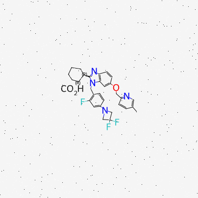 Cc1ccc(COc2ccc3nc([C@@H]4CCCC[C@H]4C(=O)O)n(Cc4ccc(N5CC(F)(F)C5)cc4F)c3c2)nc1